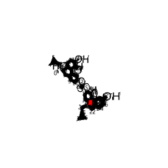 CN(CC1CC1)[C@@H]1Cc2ccc(OC(=O)O[C@@H]3CC[C@@]4(O)C5Cc6ccc(O)c7c6[C@@]4(CCN5CC4CC4)[C@H]3O7)c3c2C2[C@@H](O3)[C@H](O)CC[C@]21O